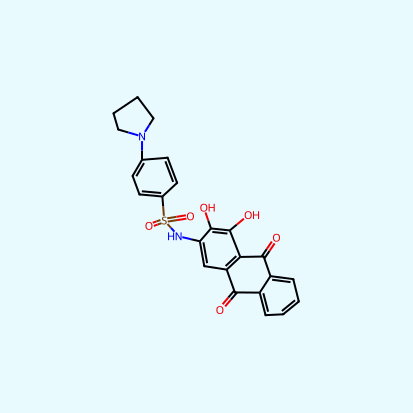 O=C1c2ccccc2C(=O)c2c1cc(NS(=O)(=O)c1ccc(N3CCCC3)cc1)c(O)c2O